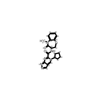 CN1C(=O)[C@@H](NC(=O)c2nc3nncc-3cn2C2CCCC2)COc2ccccc21